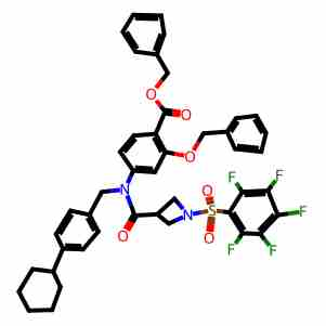 O=C(OCc1ccccc1)c1ccc(N(Cc2ccc(C3CCCCC3)cc2)C(=O)C2CN(S(=O)(=O)c3c(F)c(F)c(F)c(F)c3F)C2)cc1OCc1ccccc1